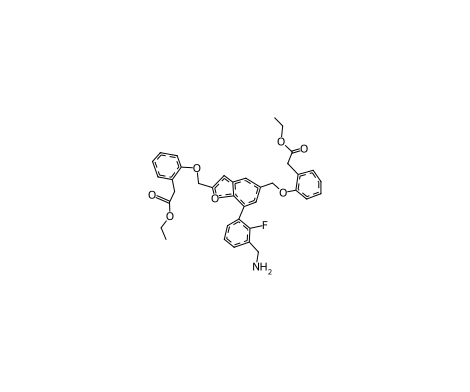 CCOC(=O)Cc1ccccc1OCc1cc(-c2cccc(CN)c2F)c2oc(COc3ccccc3CC(=O)OCC)cc2c1